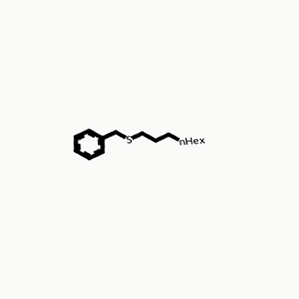 CCCCCCCCCSCc1ccccc1